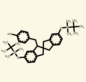 CC(C)(C)[Si](C)(C)Oc1ccc2c(c1)CC1(C2)Cc2ccc(O[Si](C)(C)C(C)(C)C)cc2C1Cc1ccc(O)cc1